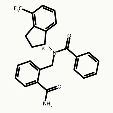 NC(=O)c1ccccc1CN(C(=O)c1ccccc1)[C@@H]1CCc2c1cccc2C(F)(F)F